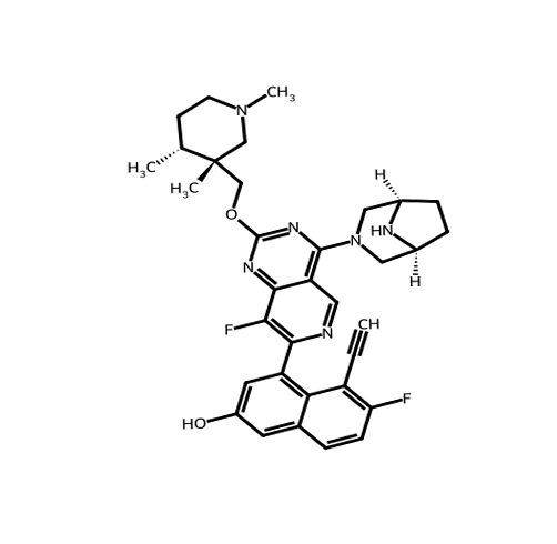 C#Cc1c(F)ccc2cc(O)cc(-c3ncc4c(N5C[C@H]6CC[C@@H](C5)N6)nc(OC[C@@]5(C)CN(C)CC[C@H]5C)nc4c3F)c12